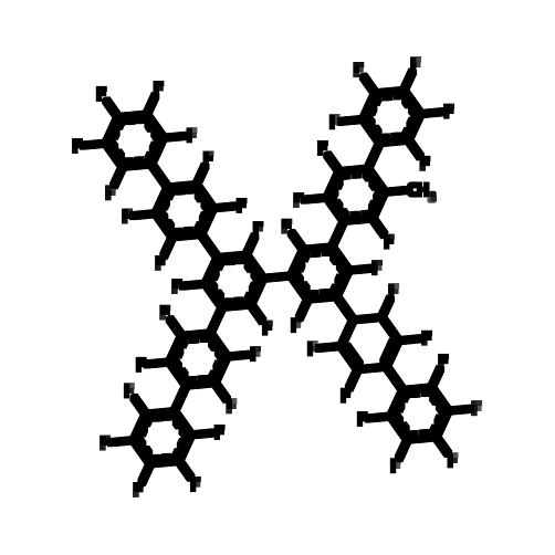 Cc1c(F)c(-c2c(F)c(-c3c(F)c(-c4c(F)c(F)c(-c5c(F)c(F)c(F)c(F)c5F)c(F)c4F)c(F)c(-c4c(F)c(F)c(-c5c(F)c(F)c(F)c(F)c5F)c(F)c4F)c3F)c(F)c(C3C(F)=C(F)C(c4c(F)c(F)c(F)c(F)c4F)=C(F)C3F)c2F)c(F)c(F)c1-c1c(F)c(F)c(F)c(F)c1F